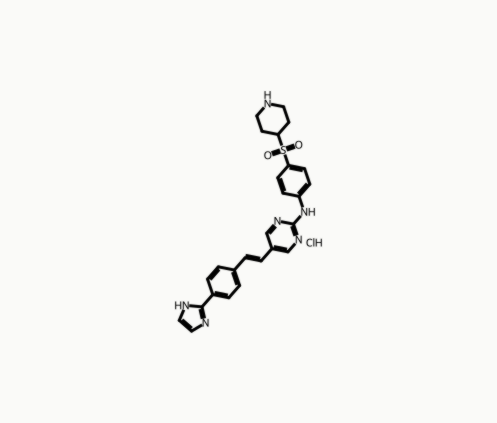 Cl.O=S(=O)(c1ccc(Nc2ncc(C=Cc3ccc(-c4ncc[nH]4)cc3)cn2)cc1)C1CCNCC1